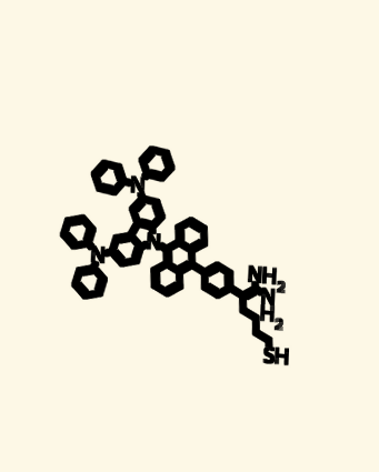 NC(N)=C(CCCCS)c1ccc(-c2c3ccccc3c(-n3c4ccc(N(c5ccccc5)c5ccccc5)cc4c4cc(N(c5ccccc5)c5ccccc5)ccc43)c3ccccc23)cc1